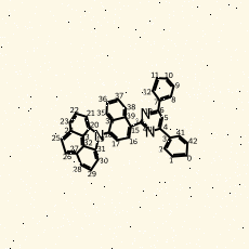 c1ccc(-c2cc(-c3ccccc3)nc(-c3ccc(-n4c5cccc6ccc7cccc4c7c65)c4ccccc34)n2)cc1